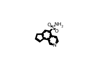 NS(=O)(=O)c1cc2c(c3cnccc13)C=CC2